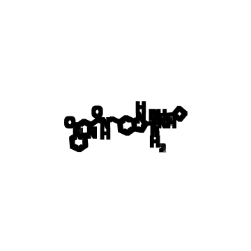 BC(B)(NCC1CCC1)c1cc2ccc(CNC(=O)c3cc(=O)n4ccccc4n3)cc2[nH]1